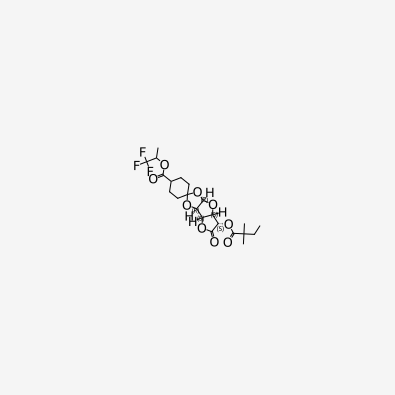 CCC(C)(C)C(=O)O[C@@H]1C(=O)O[C@@H]2[C@H]3OC4(CCC(C(=O)OC(C)C(F)(F)F)CC4)O[C@H]3O[C@@H]21